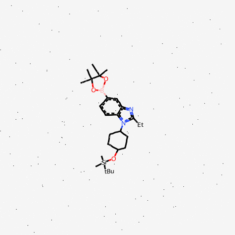 CCc1nc2cc(B3OC(C)(C)C(C)(C)O3)ccc2n1C1CCC(O[Si](C)(C)C(C)(C)C)CC1